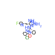 CC(Nc1nc(N)nc(N)c1C#Cc1ccc(F)cn1)c1nc2cccc(Cl)c2c(=O)n1-c1ccccc1